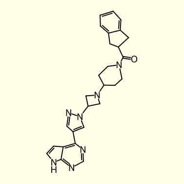 O=C(C1Cc2ccccc2C1)N1CCC(N2CC(n3cc(-c4ncnc5[nH]ccc45)cn3)C2)CC1